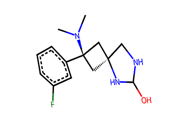 CN(C)[C@]1(c2cccc(F)c2)C[C@@]2(CNC(O)N2)C1